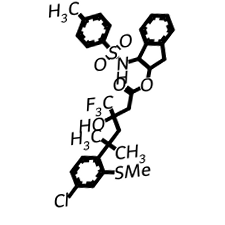 CSc1cc(Cl)ccc1C(C)(C)CC(O)(CC(=O)OC1Cc2ccccc2C1NS(=O)(=O)c1ccc(C)cc1)C(F)(F)F